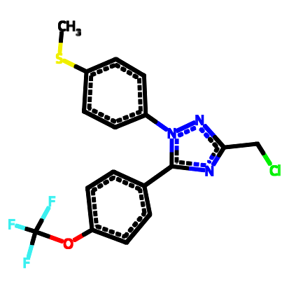 CSc1ccc(-n2nc(CCl)nc2-c2ccc(OC(F)(F)F)cc2)cc1